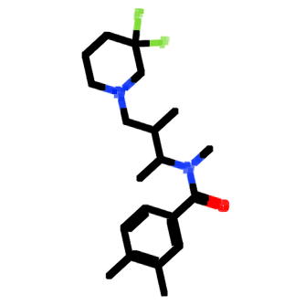 Cc1ccc(C(=O)N(C)C(C)C(C)CN2CCCC(F)(F)C2)cc1C